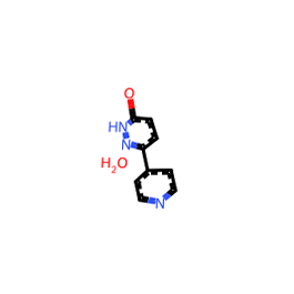 O.O=c1ccc(-c2ccncc2)n[nH]1